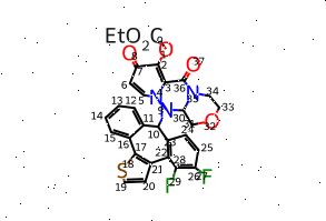 CCOC(=O)Oc1c2n(ccc1=O)N(C1c3ccccc3-c3sccc3-c3c1ccc(F)c3F)C1COCCN1C2=O